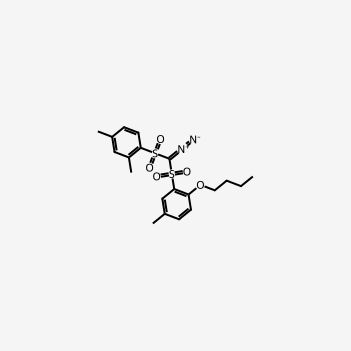 CCCCOc1ccc(C)cc1S(=O)(=O)C(=[N+]=[N-])S(=O)(=O)c1ccc(C)cc1C